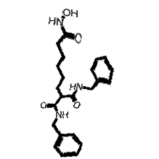 O=C(CCCCCC(C(=O)NCc1ccccc1)C(=O)NCc1ccccc1)NO